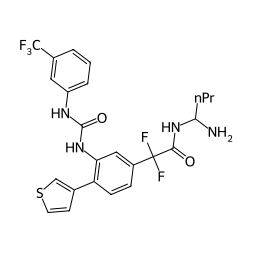 CCCC(N)NC(=O)C(F)(F)c1ccc(-c2ccsc2)c(NC(=O)Nc2cccc(C(F)(F)F)c2)c1